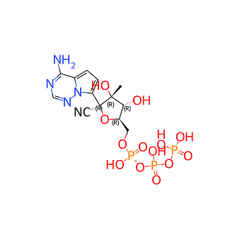 C[C@@]1(O)[C@H](O)[C@@H](COP(=O)(O)OP(=O)(O)OP(=O)(O)O)O[C@@]1(C#N)c1ccc2c(N)ncnn12